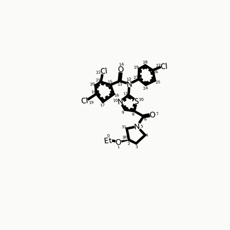 CCO[C@@H]1CCN(C(=O)c2cnc(N(C(=O)c3ccc(Cl)cc3Cl)c3ccc(Cl)cc3)s2)C1